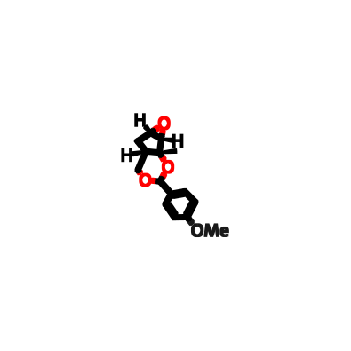 COc1ccc(C2OC[C@@H]3C[C@@H]4O[C@@H]4[C@]3(C)O2)cc1